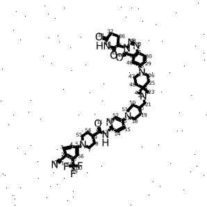 N#Cc1ccc(N2CCC(C(=O)Nc3ccc(N4CCC(CN5CC6(CCN(c7ccc8nnn(C9CCC(=O)NC9=O)c(=O)c8c7)CC6)C5)CC4)cn3)CC2)cc1C(F)(F)F